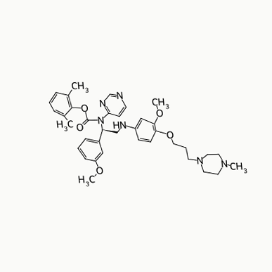 COc1cccc([C@H](CNc2ccc(OCCCN3CCN(C)CC3)c(OC)c2)N(C(=O)Oc2c(C)cccc2C)c2ccncn2)c1